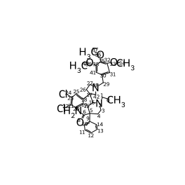 CCN1CCC(C(N)=O)(c2ccccc2)CC1C1(c2ccc(Cl)c(Cl)c2)CCN(Cc2cc(OC)c(OC)c(OC)c2)C1